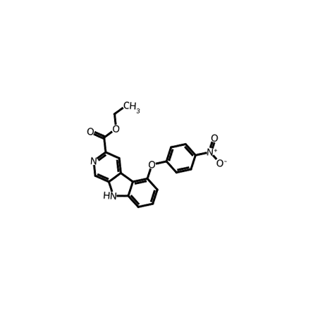 CCOC(=O)c1cc2c(cn1)[nH]c1cccc(Oc3ccc([N+](=O)[O-])cc3)c12